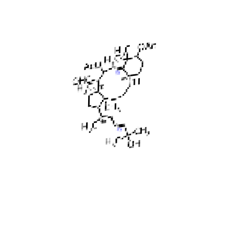 CC(=O)OC1/C=C2\[C@H](CCCC3(C)C([C@H](C)C/C=C/C(C)(C)O)CC[C@@]3(C)C1C=O)CCC(OC(C)=O)C2(C)C